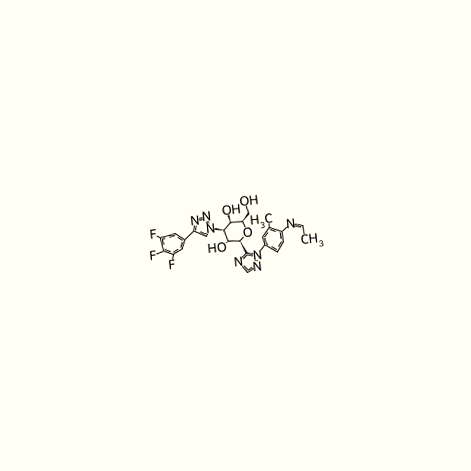 C/C=N\c1ccc(-n2ncnc2[C@@H]2O[C@H](CO)[C@H](O)[C@H](n3cc(-c4cc(F)c(F)c(F)c4)nn3)[C@H]2O)cc1C